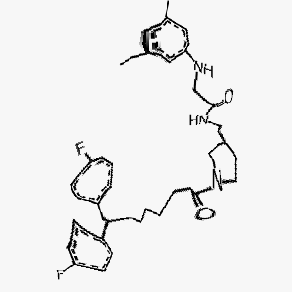 Cc1cc(C)cc(NCC(=O)NCC2CCN(C(=O)CCCCC(c3ccc(F)cc3)c3ccc(F)cc3)C2)c1